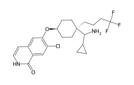 NC(C1CC1)[C@]1(CCCC(F)(F)F)CC[C@H](Oc2cc3cc[nH]c(=O)c3cc2Cl)CC1